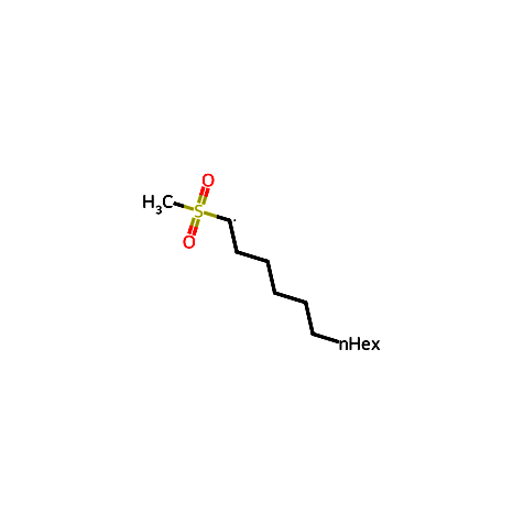 CCCCCCCCCCC[CH]S(C)(=O)=O